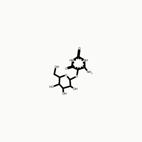 Nc1[nH]c(=O)[nH]c(=O)c1OC1OC(CO)C(O)C(O)C1O